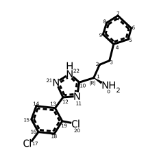 N[C@H](CCc1ccccc1)c1nc(-c2ccc(Cl)cc2Cl)n[nH]1